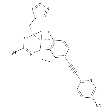 N#Cc1ccc(C#Cc2ccc(F)c([C@@]3(CF)N=C(N)S[C@@]4(Cn5ccnc5)C[C@H]43)c2)nc1